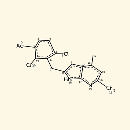 CC(=O)c1ccc(Cl)c(Cc2cc3c(C)cc(C(F)(F)F)nc3[nH]2)c1Cl